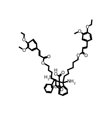 CCOc1ccc(C=CC(=O)OCCCCCCc2ccccc2C(N)(CCCCCCOC(=O)C=Cc2ccc(OCC)c(OC)c2)C(C(=O)O)(C(=O)O)C(N)c2ccccc2)cc1OC